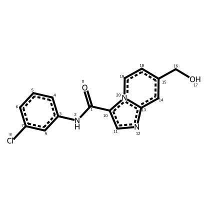 O=C(Nc1cccc(Cl)c1)c1cnc2cc(CO)ccn12